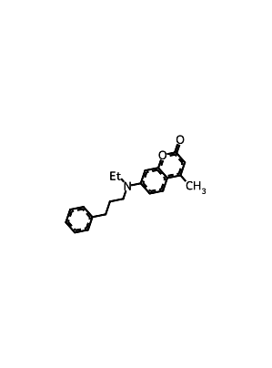 CCN(CCCc1ccccc1)c1ccc2c(C)cc(=O)oc2c1